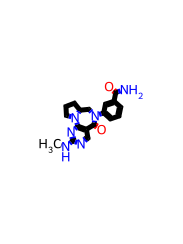 CNc1ncc2c(n1)N1CCCC1CN(c1cccc(C(N)=O)c1)C2=O